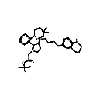 CC1(C)CCC(c2ccccc2C2C(OCCCCc3ccc4c(n3)CCCN4)CCN2CC(=O)OC(C)(C)C)OC1